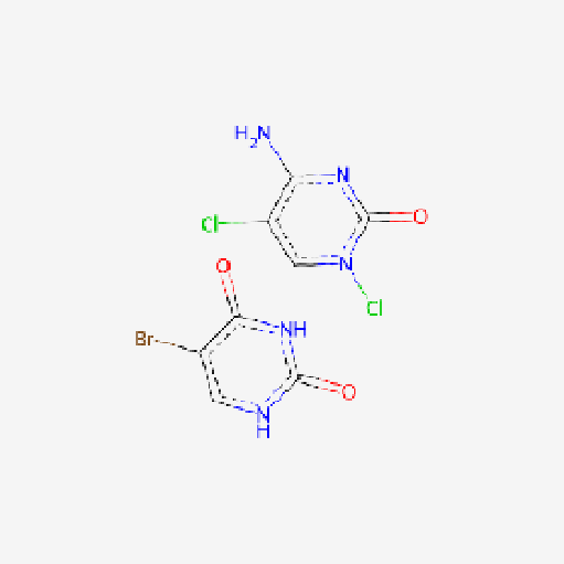 Nc1nc(=O)n(Cl)cc1Cl.O=c1[nH]cc(Br)c(=O)[nH]1